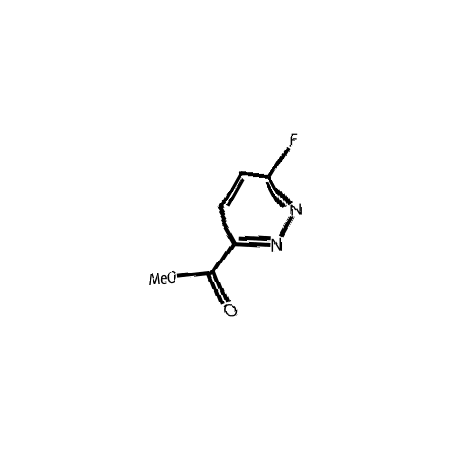 COC(=O)c1ccc(F)nn1